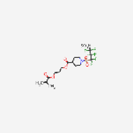 C=C(C)C(=O)OCCCOC(=O)C1CCN(S(=O)(=O)C(F)(F)C(F)(F)C(F)(F)S(=O)(=O)O)CC1